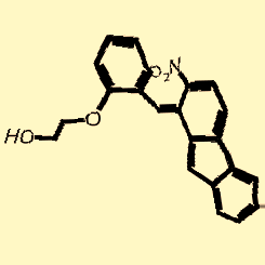 O=[N+]([O-])c1ccc2c(c1=Cc1ccccc1OCCO)=Cc1ccccc1-2